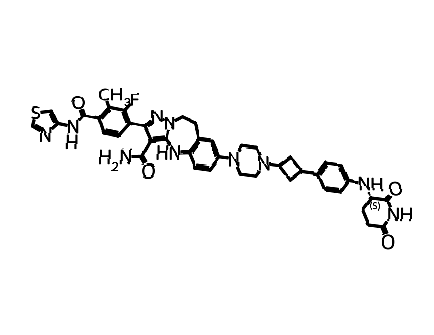 Cc1c(C(=O)Nc2cscn2)ccc(-c2nn3c(c2C(N)=O)Nc2ccc(N4CCN(C5CC(c6ccc(N[C@H]7CCC(=O)NC7=O)cc6)C5)CC4)cc2CC3)c1F